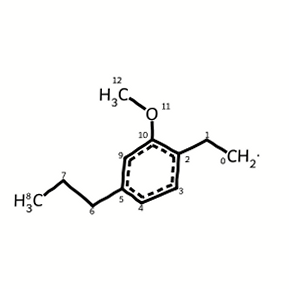 [CH2]Cc1ccc(CCC)cc1OC